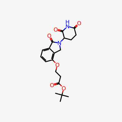 CC(C)(C)OC(=O)CCOc1cccc2c1CN(C1CCC(=O)NC1=O)C2=O